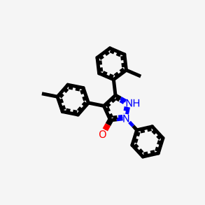 Cc1ccc(-c2c(-c3ccccc3C)[nH]n(-c3ccccc3)c2=O)cc1